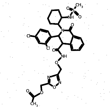 CC(=O)OCc1nc(CONC(=O)C2c3ccccc3C(=O)N(C3CCCCC3NS(C)(=O)=O)C2c2ccc(Cl)cc2Cl)no1